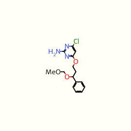 COCOC(CCOc1cc(Cl)nc(N)n1)c1ccccc1